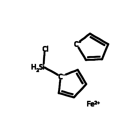 Cl[SiH2][c-]1cccc1.[Fe+2].c1cc[cH-]c1